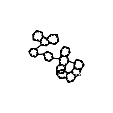 c1ccc(-c2cc3ccccc3c3ccccc23)c(-c2ccc(-c3c4ccccc4c(-c4cccc5sc6ccc7ccccc7c6c45)c4ccccc34)cc2)c1